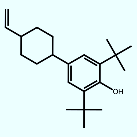 C=CC1CCC(c2cc(C(C)(C)C)c(O)c(C(C)(C)C)c2)CC1